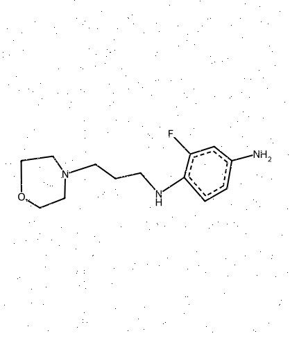 Nc1ccc(NCCCN2CCOCC2)c(F)c1